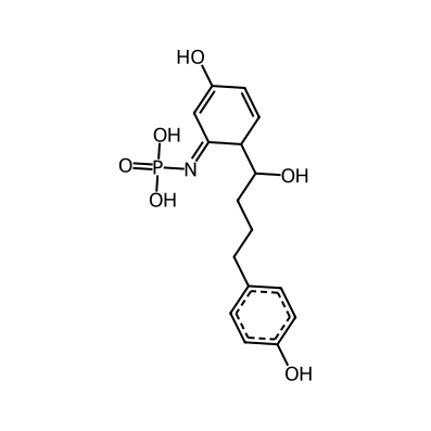 O=P(O)(O)N=C1C=C(O)C=CC1C(O)CCCc1ccc(O)cc1